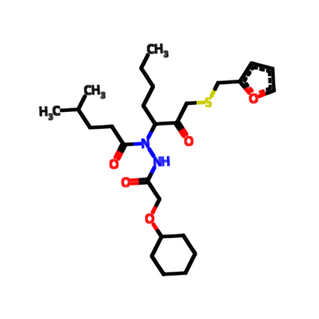 CCCCC(C(=O)CSCc1ccco1)N(NC(=O)COC1CCCCC1)C(=O)CCC(C)C